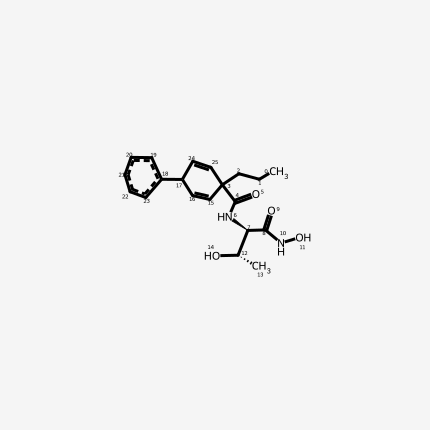 CCCC1(C(=O)N[C@@H](C(=O)NO)[C@H](C)O)C=CC(c2ccccc2)C=C1